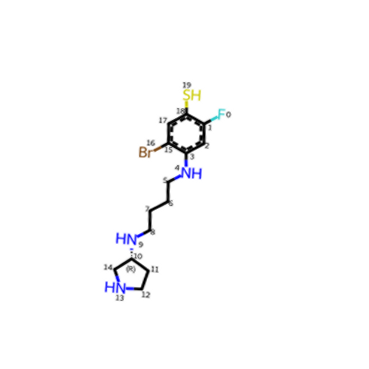 Fc1cc(NCCCCN[C@@H]2CCNC2)c(Br)cc1S